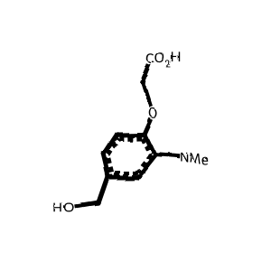 CNc1cc(CO)ccc1OCC(=O)O